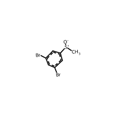 C[S+]([O-])c1cc(Br)cc(Br)c1